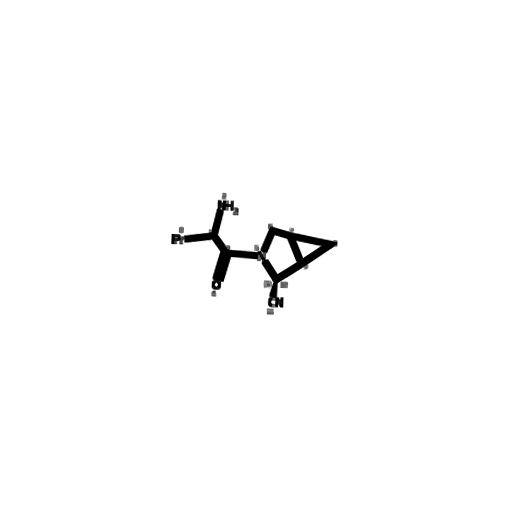 CC(C)C(N)C(=O)N1CC2CC2[C@H]1C#N